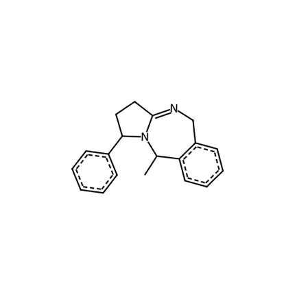 CC1c2ccccc2CN=C2CCC(c3ccccc3)N21